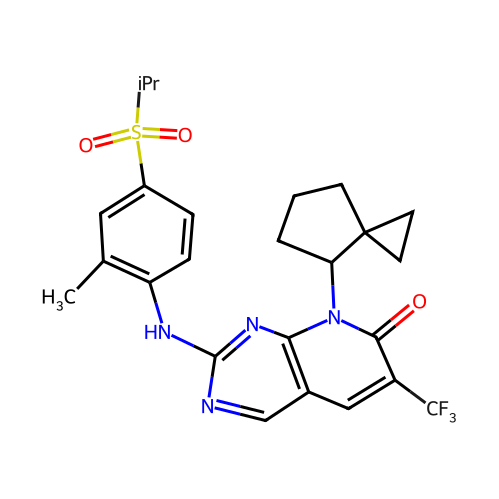 Cc1cc(S(=O)(=O)C(C)C)ccc1Nc1ncc2cc(C(F)(F)F)c(=O)n(C3CCCC34CC4)c2n1